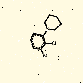 Clc1c(Br)cccc1N1CCCCC1